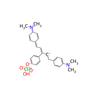 CN(C)c1ccc(C[CH-]C(=CC=C2C=CC(=[N+](C)C)C=C2)c2ccccc2)cc1.[O-][Cl+3]([O-])([O-])O